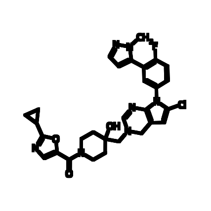 Cn1nccc1-c1cc(-n2c(Cl)cc3c2N=CN(CC2(O)CCN(C(=O)c4cnc(C5CC5)o4)CC2)C3)ccc1F